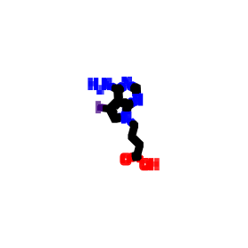 Nc1ncnc2c1c(I)cn2CCCC(=O)O